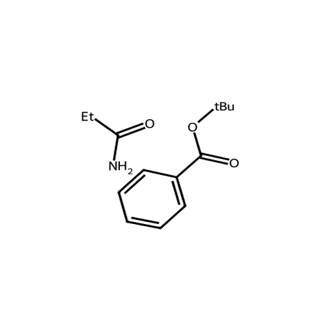 CC(C)(C)OC(=O)c1ccccc1.CCC(N)=O